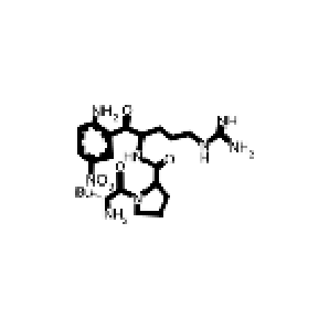 CCC(C)[C@@H](N)C(=O)N1CCCC1C(=O)NC(CCCNC(=N)N)C(=O)c1cc([N+](=O)[O-])ccc1N